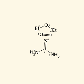 C=O.CCOCC.NC(N)=S